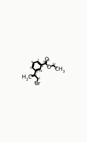 C=C(CBr)c1cccc(C(=O)OCC)c1